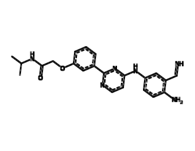 CC(C)NC(=O)COc1cccc(-c2nccc(Nc3ccc(N)c(C=N)c3)n2)c1